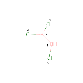 ClBB(Cl)Cl